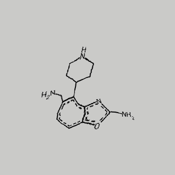 Nc1nc2c(C3CCNCC3)c(N)ccc2o1